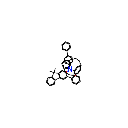 CC1(C)c2ccccc2-c2cc(-c3ccccc3)c(N(c3ccc(-c4ccccc4)cc3)c3cc4ccc3CCc3ccc(cc3)CC4)cc21